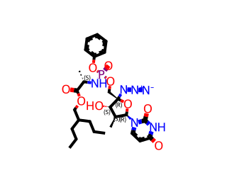 CCCC(CCC)COC(=O)[C@H](C)NP(=O)(OC[C@@]1(N=[N+]=[N-])O[C@@H](n2ccc(=O)[nH]c2=O)[C@@H](C)[C@@H]1O)Oc1ccccc1